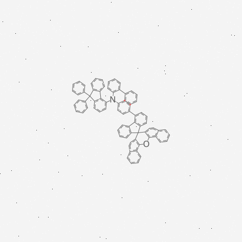 c1ccc(-c2ccccc2N(c2ccc(-c3cccc4c3-c3ccccc3C43c4ccc5ccccc5c4Oc4c3ccc3ccccc43)cc2)c2cccc3c2-c2ccccc2C3(c2ccccc2)c2ccccc2)cc1